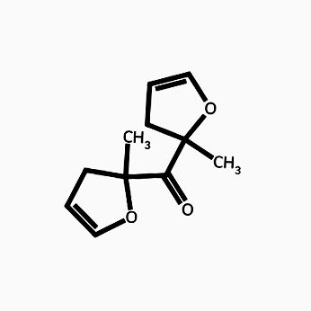 CC1(C(=O)C2(C)CC=CO2)CC=CO1